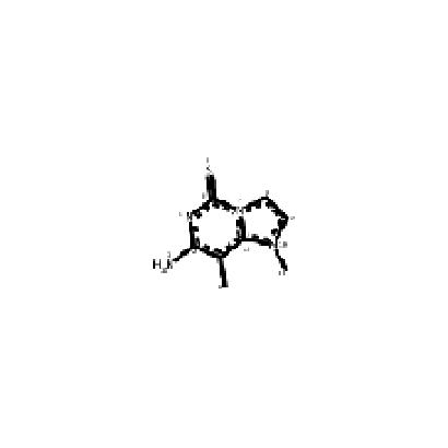 Cc1c(N)nc(=S)n2ccn(C)c12